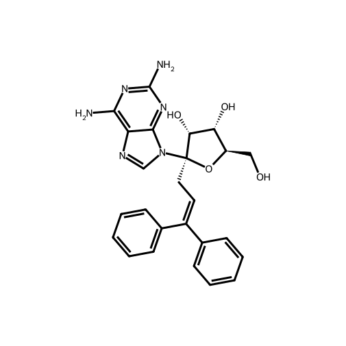 Nc1nc(N)c2ncn([C@]3(CC=C(c4ccccc4)c4ccccc4)O[C@H](CO)[C@@H](O)[C@H]3O)c2n1